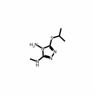 CNc1nnc(SC(C)C)n1N